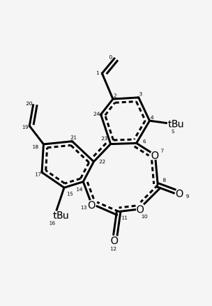 C=Cc1cc(C(C)(C)C)c2oc(=O)oc(=O)oc3c(C(C)(C)C)cc(C=C)cc3c2c1